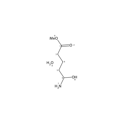 COC(=O)CCCC(N)O.O